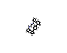 C(/C=C/c1cccs1)=C\c1cccs1.c1csc(-c2ccc(-c3cccs3)cc2)c1